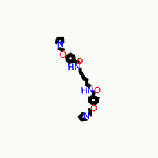 O=C(NCCCCCCCNC(=O)c1ccc(OCCN2CCCC2)cc1)c1ccc(OCCN2CCCC2)cc1